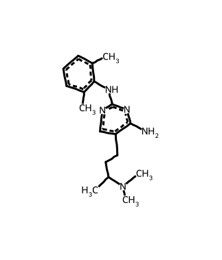 Cc1cccc(C)c1Nc1ncc(CCC(C)N(C)C)c(N)n1